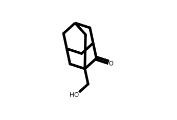 O=C1C2CC3CC(C2)CC1(CO)C3